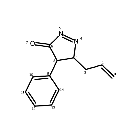 C=CCC1N=NC(=O)C1c1ccccc1